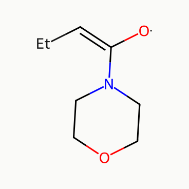 CC/C=C(/[O])N1CCOCC1